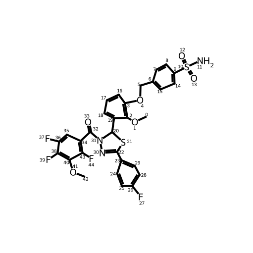 COc1c(OCc2ccc(S(N)(=O)=O)cc2)cccc1C1SC(c2ccc(F)cc2)=NN1C(=O)c1cc(F)c(F)c(OC)c1F